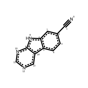 N#Cc1ccc2c(c1)[nH]c1ncncc12